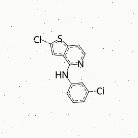 Clc1cccc(Nc2nccc3sc(Cl)cc23)c1